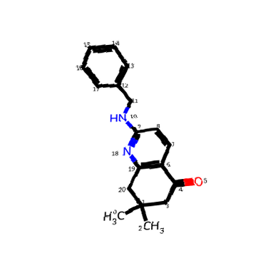 CC1(C)CC(=O)c2ccc(NCc3ccccc3)nc2C1